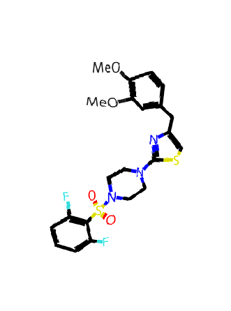 COc1ccc(Cc2csc(N3CCN(S(=O)(=O)c4c(F)cccc4F)CC3)n2)cc1OC